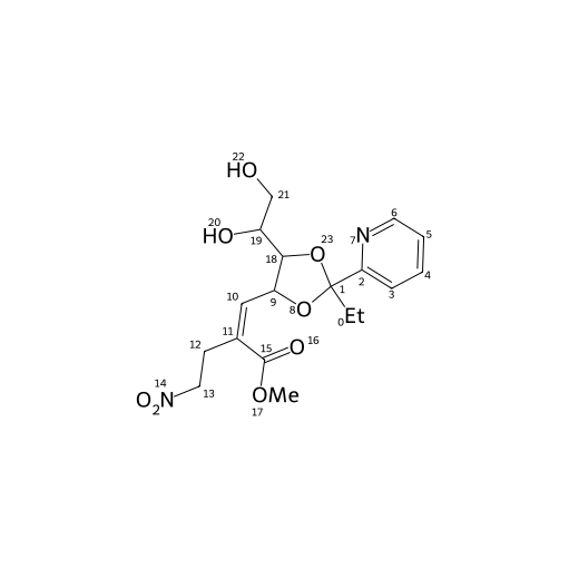 CCC1(c2ccccn2)OC(C=C(CC[N+](=O)[O-])C(=O)OC)C(C(O)CO)O1